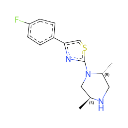 C[C@@H]1CN[C@@H](C)CN1c1nc(-c2ccc(F)cc2)cs1